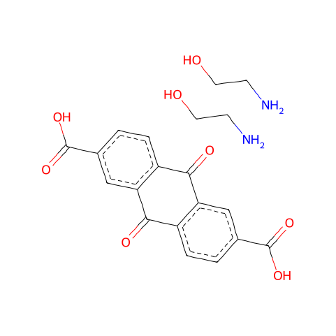 NCCO.NCCO.O=C(O)c1ccc2c(c1)C(=O)c1ccc(C(=O)O)cc1C2=O